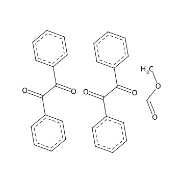 COC=O.O=C(C(=O)c1ccccc1)c1ccccc1.O=C(C(=O)c1ccccc1)c1ccccc1